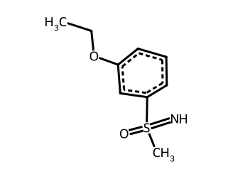 CCOc1cccc(S(C)(=N)=O)c1